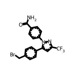 NC(=O)c1ccc(-n2nc(C(F)(F)F)cc2-c2ccc(CBr)cc2)cc1